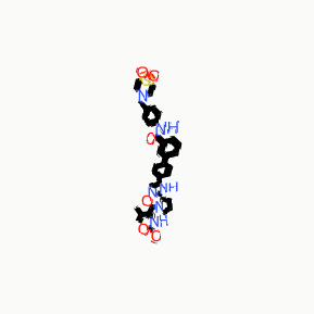 COC(=O)N[C@H](C(=O)N1CCC[C@H]1c1ncc(-c2ccc(-c3cccc(C(=O)Nc4ccc(CN5CCS(=O)(=O)CC5)cc4)c3)cc2)[nH]1)C(C)C